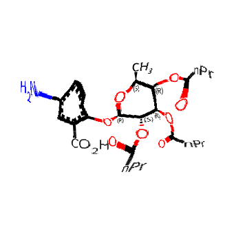 CCCC(=O)O[C@H]1[C@H](OC(=O)CCC)[C@@H](Oc2ccc(N)cc2C(=O)O)O[C@@H](C)[C@H]1OC(=O)CCC